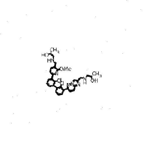 COc1nc(-c2cccc(-c3cccc(-c4ccc5nc(CNC[C@H](C)O)cn5n4)c3Cl)c2Cl)ccc1CNC[C@@H](C)O